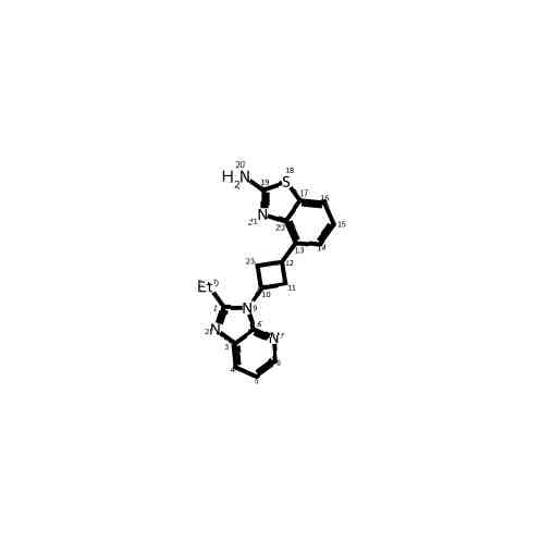 CCc1nc2cccnc2n1C1CC(c2cccc3sc(N)nc23)C1